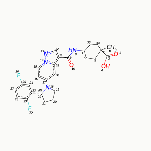 CC1(C(=O)O)CCC(NC(=O)c2cnn3ccc(N4CCC[C@@H]4c4cc(F)ccc4F)cc23)CC1